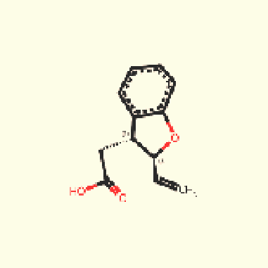 C=C[C@@H]1Oc2ccccc2[C@H]1CC(=O)O